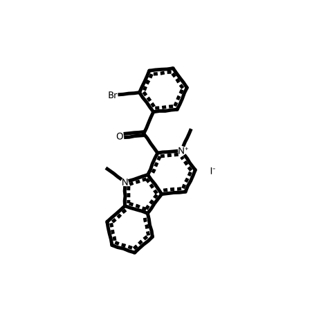 Cn1c2ccccc2c2cc[n+](C)c(C(=O)c3ccccc3Br)c21.[I-]